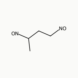 CC(CCN=O)N=O